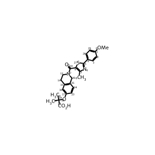 COc1ccc(-c2nc(C)c(C(=O)N3CCc4cc(OC(C)(C)C(=O)O)ccc4C3)s2)cc1